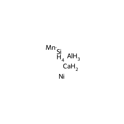 [AlH3].[CaH2].[Mn].[Ni].[SiH4]